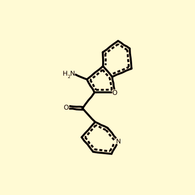 Nc1c(C(=O)c2cccnc2)oc2ccccc12